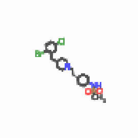 CS(=O)(=O)N[C@H]1CC[C@H](CCN2CCC(Cc3cc(Cl)ccc3Br)CC2)CC1